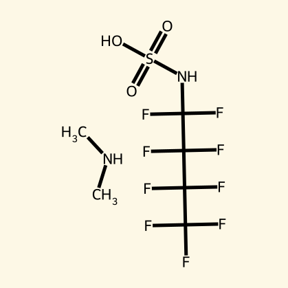 CNC.O=S(=O)(O)NC(F)(F)C(F)(F)C(F)(F)C(F)(F)F